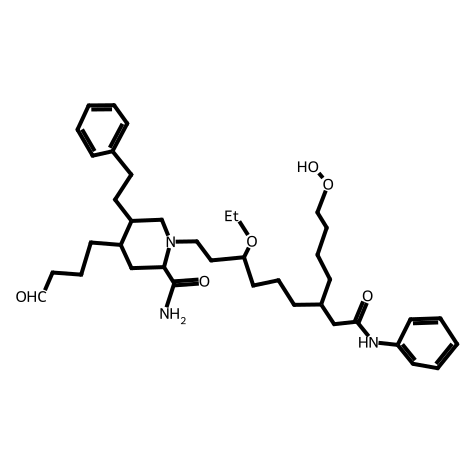 CCOC(CCCC(CCCCOO)CC(=O)Nc1ccccc1)CCN1CC(CCc2ccccc2)C(CCCC=O)CC1C(N)=O